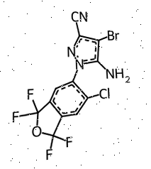 N#Cc1nn(-c2cc3c(cc2Cl)C(F)(F)OC3(F)F)c(N)c1Br